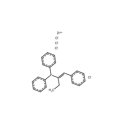 CCC(=Cc1ccccc1)P(c1ccccc1)c1ccccc1.[Cl-].[Cl-].[Cl-].[Cl-].[Zr+4]